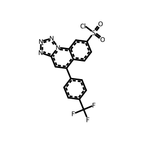 O=S(=O)(Cl)c1ccc2c(-c3ccc(C(F)(F)F)cc3)cc3nnnn3c2c1